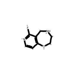 Fc1nccc2c1CNCCO2